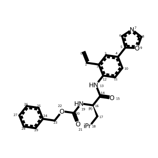 C=Cc1cc(-c2cnco2)ccc1NC(=O)[C@@H](CC(C)C)NC(=O)OCc1ccccc1